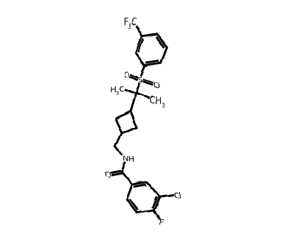 CC(C)(C1CC(CNC(=O)c2ccc(F)c(Cl)c2)C1)S(=O)(=O)c1cccc(C(F)(F)F)c1